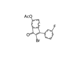 CC(=O)Oc1ccc2c(c1)C(=O)C(Br)=C2c1cccc(F)c1